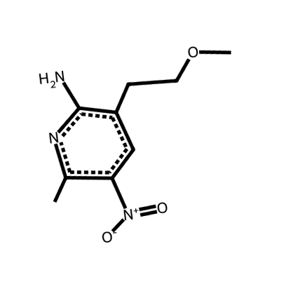 COCCc1cc([N+](=O)[O-])c(C)nc1N